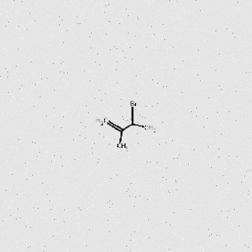 C=C(C)C(C)Br